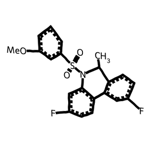 COc1cccc(S(=O)(=O)N2c3cc(F)ccc3-c3cc(F)ccc3C2C)c1